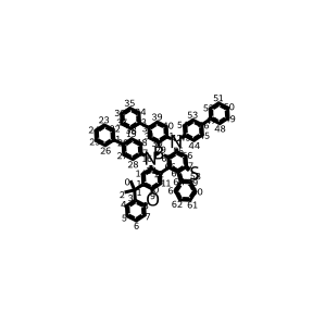 CC1(C)c2ccccc2Oc2cc3c(cc21)N(c1ccc(-c2ccccc2)cc1)B1c2cc(-c4ccccc4)ccc2N(c2ccc(-c4ccccc4)cc2)c2cc4sc5ccccc5c4c-3c21